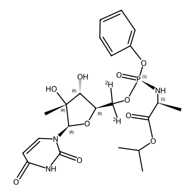 [2H]C([2H])(O[P@@](=O)(N[C@@H](C)C(=O)OC(C)C)Oc1ccccc1)[C@H]1O[C@@H](n2ccc(=O)[nH]c2=O)[C@](C)(O)[C@@H]1O